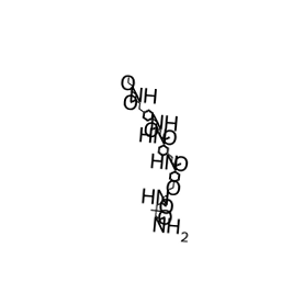 COCCNC(=O)CCc1ccc(NC(=O)CNC(=O)c2cccc(CNC(=O)c3ccc(OCCNC(=O)CC(C)(C)CC(N)=O)cc3)c2)cc1